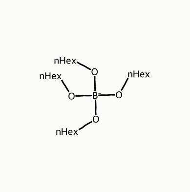 CCCCCCO[B-](OCCCCCC)(OCCCCCC)OCCCCCC